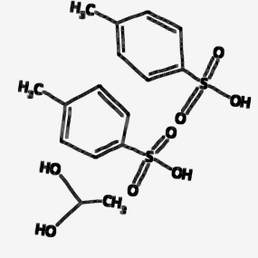 CC(O)O.Cc1ccc(S(=O)(=O)O)cc1.Cc1ccc(S(=O)(=O)O)cc1